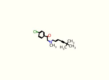 CN(CC=CC#CC(C)(C)C)CC(=O)c1ccc(Cl)cc1